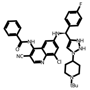 CC(C)(C)N1CCC(N2C=C([C@@H](Nc3cc(Cl)c4ncc(C#N)c(NC(=O)c5ccccc5)c4c3)c3ccc(F)cc3)NN2)CC1